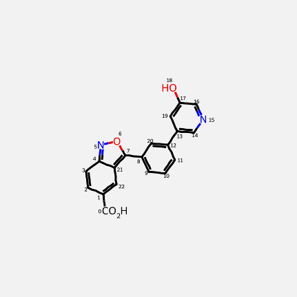 O=C(O)c1ccc2noc(-c3cccc(-c4cncc(O)c4)c3)c2c1